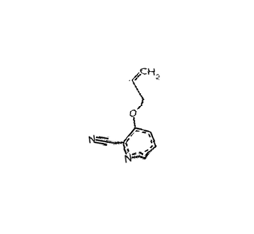 C=[C]COc1cccnc1C#N